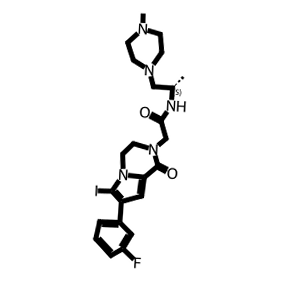 C[C@@H](CN1CCN(C)CC1)NC(=O)CN1CCn2c(cc(-c3cccc(F)c3)c2I)C1=O